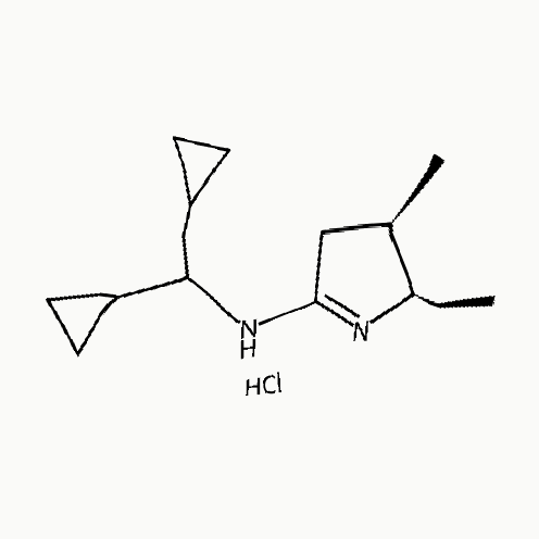 C[C@@H]1CC(NC(C2CC2)C2CC2)=N[C@@H]1C.Cl